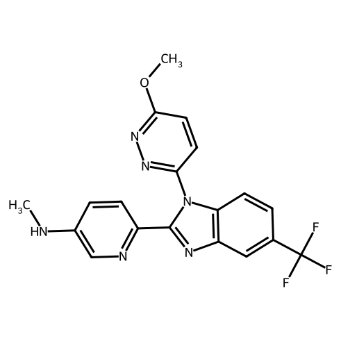 CNc1ccc(-c2nc3cc(C(F)(F)F)ccc3n2-c2ccc(OC)nn2)nc1